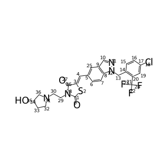 O=C1S/C(=C\c2ccc3c(cnn3Cc3ccc(Cl)cc3C(F)(F)F)c2)C(=O)N1CCN1CC[C@H](O)C1